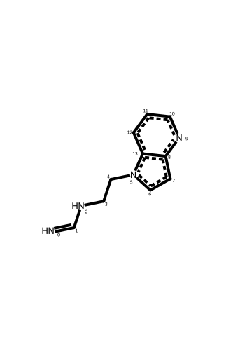 N=CNCCn1ccc2ncccc21